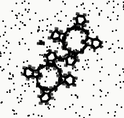 [Zn].c1ccc2c(c1)-c1nc-2nc2[nH]c(nc3nc(nc4[nH]c(n1)c1ccccc41)-c1ccccc1-3)c1[c]([Zn][c]3cccc4c5nc6nc(nc7[nH]c(nc8nc(nc([nH]5)c34)-c3ccccc3-8)c3ccccc73)-c3ccccc3-6)cccc21